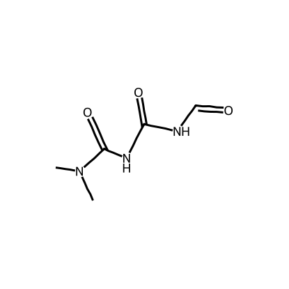 CN(C)C(=O)NC(=O)NC=O